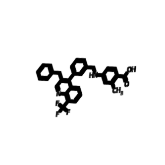 Cc1cc(NCc2cccc(-c3c(Cc4ccccc4)cnc4c(C(F)(F)F)cccc34)c2)ccc1C(=O)O